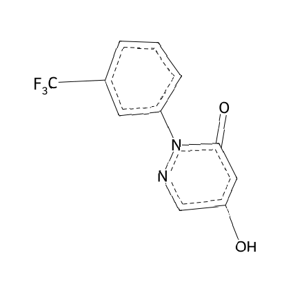 O=c1cc(O)cnn1-c1cccc(C(F)(F)F)c1